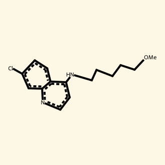 COCCCCCNc1ccnc2cc(Cl)ccc12